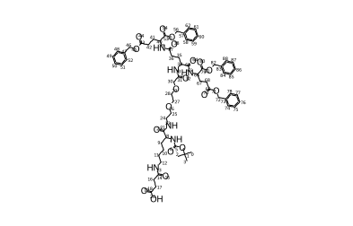 CC(C)(C)OC(=O)NC(CCCCNC(=O)CCC(=O)O)C(=O)NCCOCCOCC(=O)NC(CCC(=O)NC(CCC(=O)OCc1ccccc1)C(=O)OCc1ccccc1)C(=O)NC(CCC(=O)OCc1ccccc1)C(=O)OCc1ccccc1